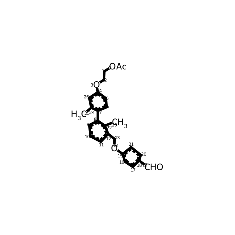 CC(=O)OCCOc1ccc(-c2cccc(COc3ccc(C=O)cc3)c2C)c(C)c1